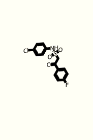 O=C(CS(=O)(=O)Nc1ccc(Cl)cc1)c1ccc(F)cc1